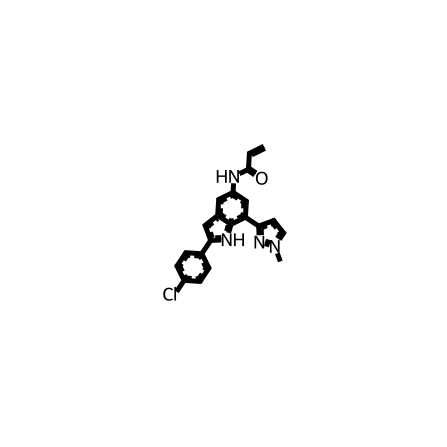 C=CC(=O)Nc1cc(-c2ccn(C)n2)c2[nH]c(-c3ccc(Cl)cc3)cc2c1